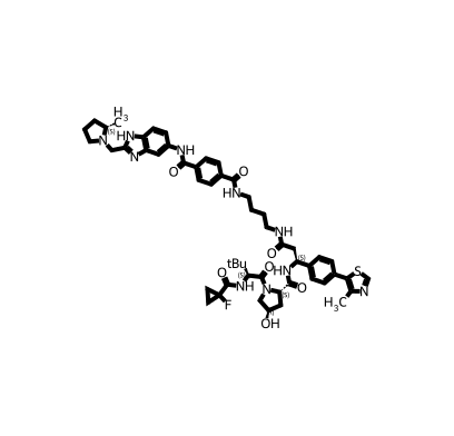 Cc1ncsc1-c1ccc([C@H](CC(=O)NCCCCNC(=O)c2ccc(C(=O)Nc3ccc4[nH]c(CN5CCC[C@@H]5C)nc4c3)cc2)NC(=O)[C@@H]2C[C@@H](O)CN2C(=O)[C@@H](NC(=O)C2(F)CC2)C(C)(C)C)cc1